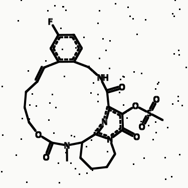 CN1C(=O)OCCC/C=C/c2cc(F)ccc2CNC(=O)c2nc3n(c(=O)c2OS(C)(=O)=O)CCCCC31